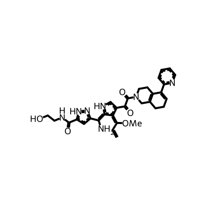 C=C/C(OC)=c1/c(C(=O)C(=O)N2CCC3=C(CCC=C3c3ccccn3)C2)c[nH]/c1=C(/N)c1cc(C(=O)NCCO)[nH]n1